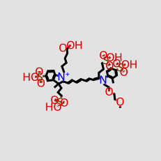 COCCOCCN(/C(=C/C=C/C=C/C=C/C1=[N+](CCCCCC(=O)O)c2ccc(S(=O)(=O)O)cc2C1(C)CCCS(=O)(=O)O)CCCS(=O)(=O)O)c1ccc(S(=O)(=O)O)cc1C